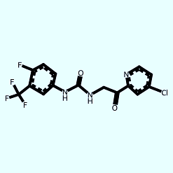 O=C(NCC(=O)c1cc(Cl)ccn1)Nc1ccc(F)c(C(F)(F)F)c1